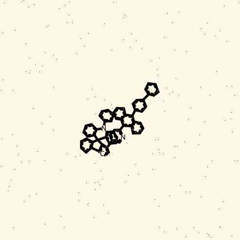 c1ccc(-c2ccc(-c3c4ccccc4c(-c4ccc(-c5cccc6c5C5(c7ccccc7-6)c6ccccc6N(c6ccccc6)c6ccccc65)cn4)c4ccccc34)cc2)cc1